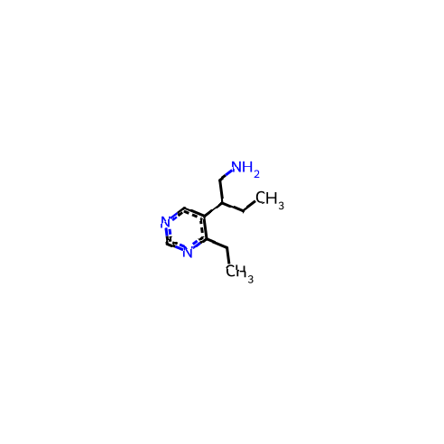 CCc1ncncc1C(CC)CN